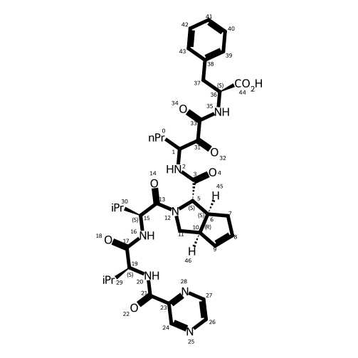 CCCC(NC(=O)[C@@H]1[C@H]2CC=C[C@H]2CN1C(=O)[C@@H](NC(=O)[C@@H](NC(=O)c1cnccn1)C(C)C)C(C)C)C(=O)C(=O)N[C@@H](Cc1ccccc1)C(=O)O